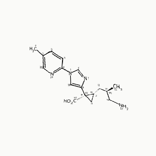 Cc1ccc(-n2cnc([C@]3(C(=O)O)C[C@H]3C[C@@H](C)CN)c2)nc1